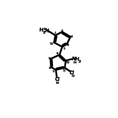 Nc1cccc(-c2ccc(Cl)c(Cl)c2N)c1